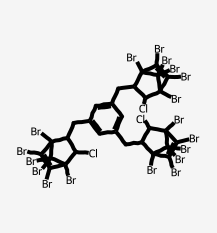 ClC1C(Cc2cc(CC3C(Cl)C4(Br)C(Br)=C(Br)C3(Br)C4(Br)Br)cc(CC3C(Cl)C4(Br)C(Br)=C(Br)C3(Br)C4(Br)Br)c2)C2(Br)C(Br)=C(Br)C1(Br)C2(Br)Br